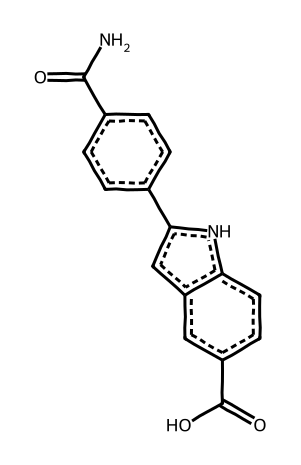 NC(=O)c1ccc(-c2cc3cc(C(=O)O)ccc3[nH]2)cc1